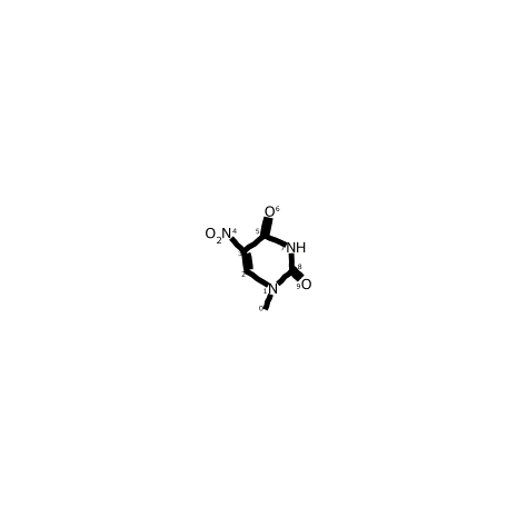 Cn1cc([N+](=O)[O-])c(=O)[nH]c1=O